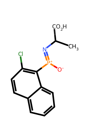 CC(/N=[P+](\[O-])c1c(Cl)ccc2ccccc12)C(=O)O